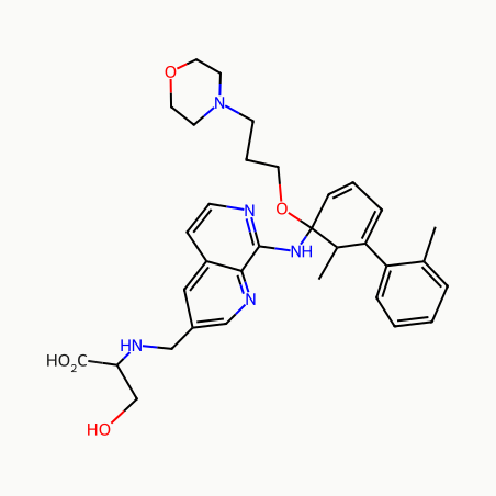 Cc1ccccc1C1=CC=CC(Nc2nccc3cc(CNC(CO)C(=O)O)cnc23)(OCCCN2CCOCC2)C1C